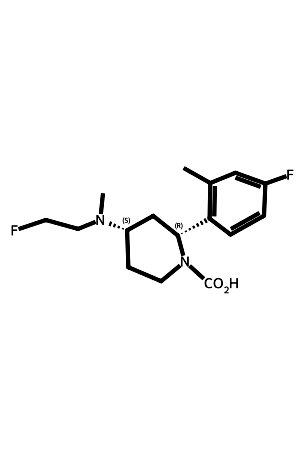 Cc1cc(F)ccc1[C@H]1C[C@@H](N(C)CCF)CCN1C(=O)O